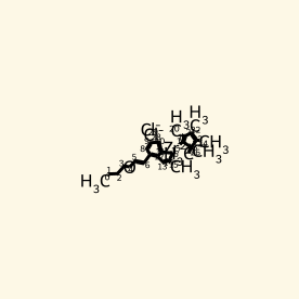 CCCCOC=Cc1cccc2c1C=C(C)[CH]2[Zr+2][C]1=C(C)C(C)=C(C)C1(C)C.[Cl-].[Cl-]